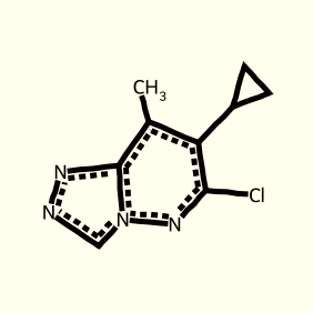 Cc1c(C2CC2)c(Cl)nn2cnnc12